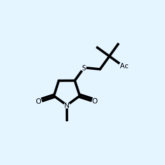 CC(=O)C(C)(C)CSC1CC(=O)N(C)C1=O